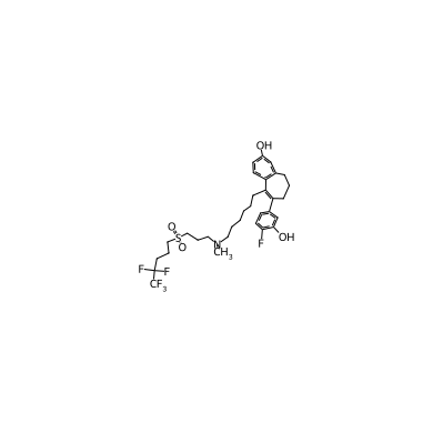 CN(CCCCCCC1=C(c2ccc(F)c(O)c2)CCCc2cc(O)ccc21)CCCS(=O)(=O)CCCC(F)(F)C(F)(F)F